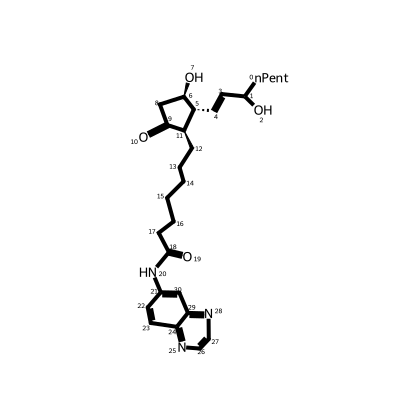 CCCCCC(O)/C=C/[C@H]1[C@H](O)CC(=O)[C@@H]1CCCCCCC(=O)Nc1ccc2nccnc2c1